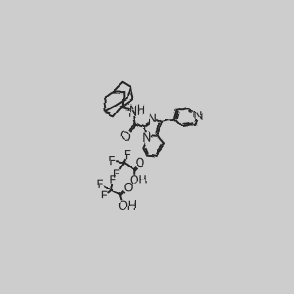 O=C(NC12CC3CC(CC(C3)C1)C2)c1nc(-c2ccncc2)c2ccccn12.O=C(O)C(F)(F)F.O=C(O)C(F)(F)F